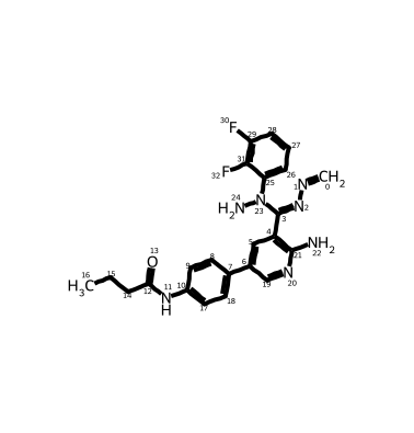 C=N/N=C(/c1cc(-c2ccc(NC(=O)CCC)cc2)cnc1N)N(N)c1cccc(F)c1F